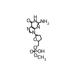 COP(=O)(O)OCC1CC[C@H](n2cnc3c(=O)[nH]c(N)nc32)O1